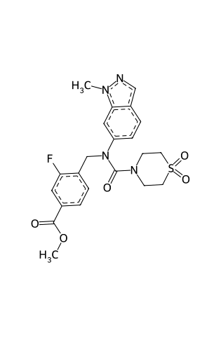 COC(=O)c1ccc(CN(C(=O)N2CCS(=O)(=O)CC2)c2ccc3cnn(C)c3c2)c(F)c1